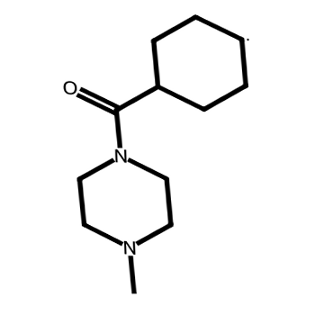 CN1CCN(C(=O)C2CC[CH]CC2)CC1